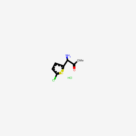 COC(=O)C(N)c1ccc(Cl)s1.Cl